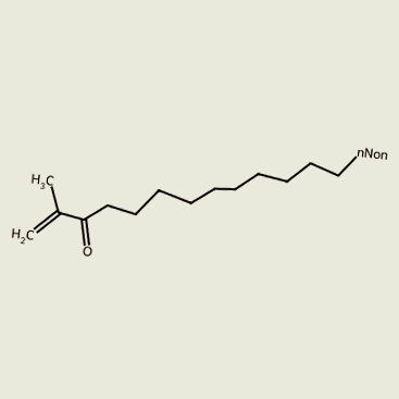 C=C(C)C(=O)CCCCCCCCCCCCCCCCCCC